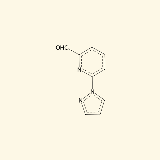 O=[C]c1cccc(-n2cccn2)n1